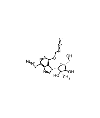 C[C@@]1(O)[C@H](O)[C@@H](CO)O[C@H]1n1cnc2c(N=[N+]=[N-])nnc(OCN=[N+]=[N-])c21